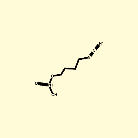 [N-]=[N+]=NCCCCO[PH](=O)O